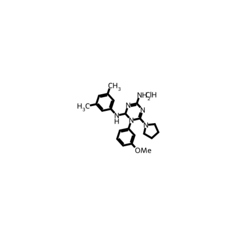 COc1cccc(N2C(N3CCCC3)=NC(N)=NC2Nc2cc(C)cc(C)c2)c1.Cl